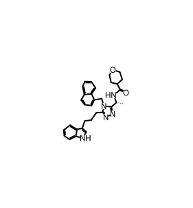 C[C@@H](NC(=O)C1CCOCC1)c1nnc(CCCc2c[nH]c3ccccc23)n1Cc1cccc2ccccc12